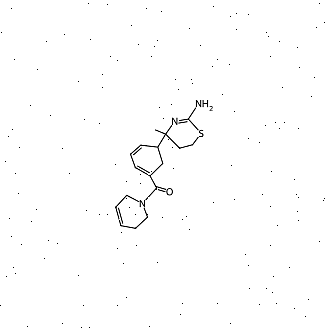 CC1(C2C=CC=C(C(=O)N3CC=CCC3)C2)CCSC(N)=N1